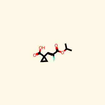 CC(C)OC(=O)C(F)=CC1(C(=O)O)CC1